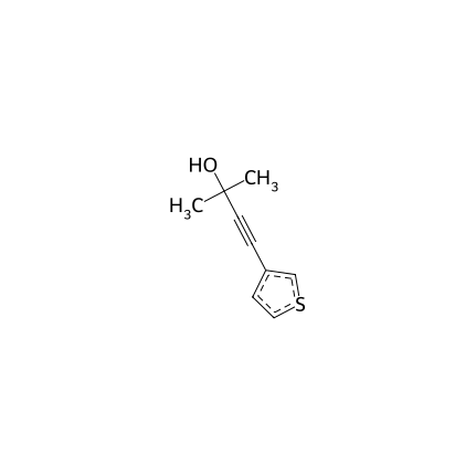 CC(C)(O)C#Cc1ccsc1